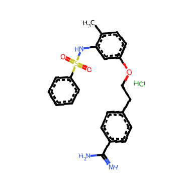 Cc1ccc(OCCc2ccc(C(=N)N)cc2)cc1NS(=O)(=O)c1ccccc1.Cl